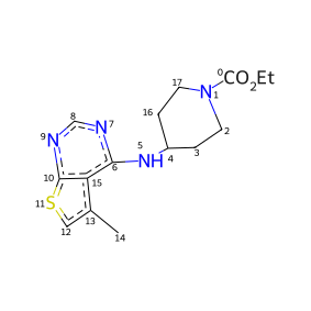 CCOC(=O)N1CCC(Nc2ncnc3scc(C)c23)CC1